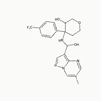 Cc1cnc2c(C(O)NC3(c4ccc(C(F)(F)F)cc4)CCOCC3O)cnn2c1